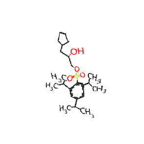 CC(C)c1cc(C(C)C)c(S(=O)(=O)OC[C@@H](O)CC2CCCC2)c(C(C)C)c1